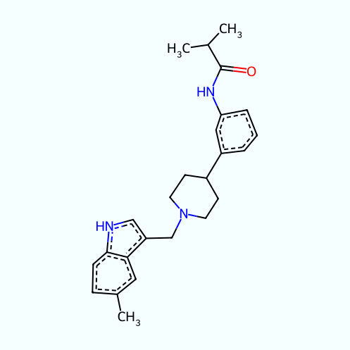 Cc1ccc2[nH]cc(CN3CCC(c4cccc(NC(=O)C(C)C)c4)CC3)c2c1